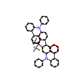 C[Si](C)(C)C1([Si](C)(C)C)c2cc(N(c3ccccc3)c3ccccc3-c3ccccc3)ccc2-c2c1cc(N(c1ccccc1)c1ccccc1-c1ccccc1)c1ccccc21